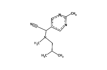 Cc1ncc(C(C#N)N(C)CC(C)C)cn1